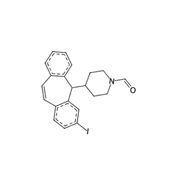 O=CN1CCC(C2c3ccccc3C=Cc3ccc(I)cc32)CC1